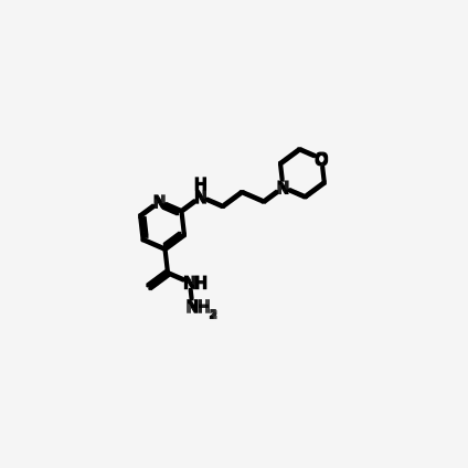 C=C(NN)c1ccnc(NCCCN2CCOCC2)c1